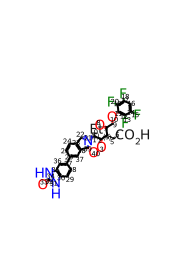 CC[C@@H](C(=O)[C@H](CC(=O)O)C(=O)COc1c(F)c(F)cc(F)c1F)N1Cc2ccc(-c3ccc4[nH]c(=O)[nH]c4c3)cc2C1=O